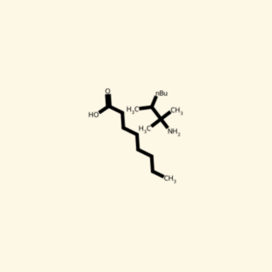 CCCCC(C)C(C)(C)N.CCCCCCCC(=O)O